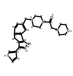 O=C(CN1CCOCC1)N1CCN(Cc2ccc3c(c2)-c2[nH]nc(-c4ccsc4)c2C3)CC1